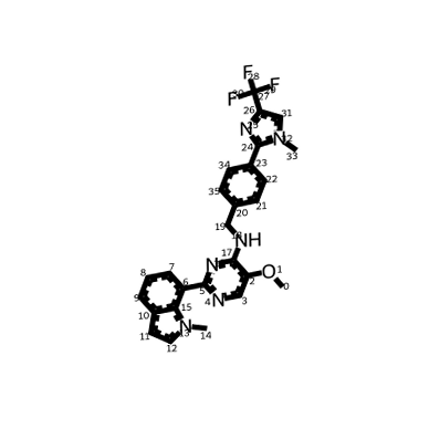 COc1cnc(-c2cccc3ccn(C)c23)nc1NCc1ccc(-c2nc(C(F)(F)F)cn2C)cc1